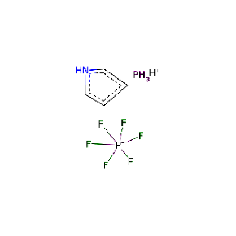 F[P-](F)(F)(F)(F)F.P.[H+].c1cc[nH]c1